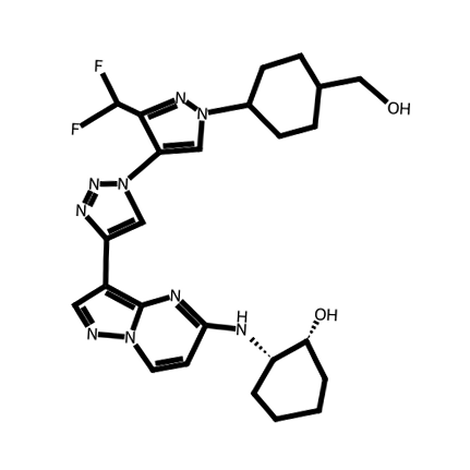 OCC1CCC(n2cc(-n3cc(-c4cnn5ccc(N[C@H]6CCCC[C@H]6O)nc45)nn3)c(C(F)F)n2)CC1